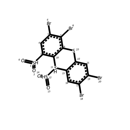 O=[SH](=O)c1cc(Br)c(Br)c2c1[SH]([SH](=O)=O)c1cc(Br)c(Br)cc1S2